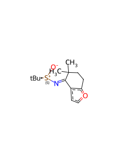 CC1(C)CCc2occc2C1=N[S@+]([O-])C(C)(C)C